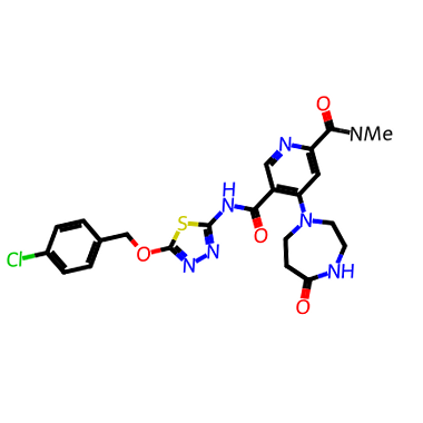 CNC(=O)c1cc(N2CCNC(=O)CC2)c(C(=O)Nc2nnc(OCc3ccc(Cl)cc3)s2)cn1